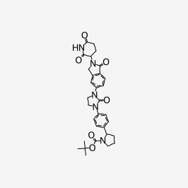 CC(C)(C)OC(=O)N1CCCC1c1ccc(N2CCN(c3ccc4c(c3)CN(C3CCC(=O)NC3=O)C4=O)C2=O)cc1